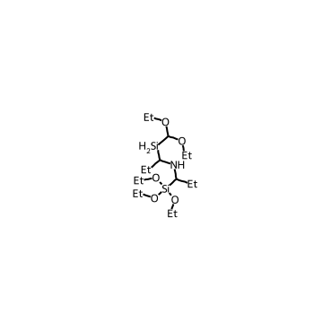 CCOC(OCC)[SiH2]C(CC)NC(CC)[Si](OCC)(OCC)OCC